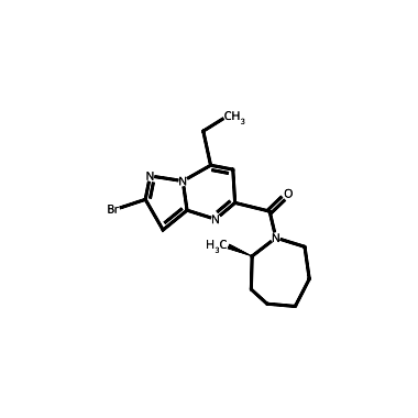 CCc1cc(C(=O)N2CCCCC[C@H]2C)nc2cc(Br)nn12